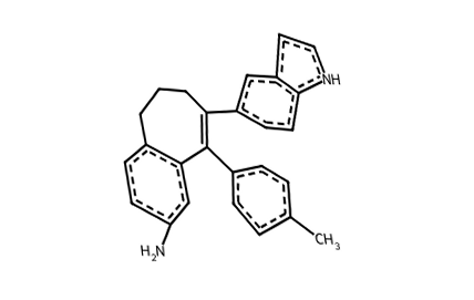 Cc1ccc(C2=C(c3ccc4[nH]ccc4c3)CCCc3ccc(N)cc32)cc1